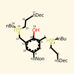 CCCCCCCCCCCC[SH](CCCC)Cc1cc(CCCCCCCCC)cc(C[SH](CCCC)CCCCCCCCCCCC)c1O